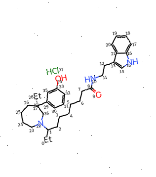 CCC(CCCCCCC(=O)NCCc1c[nH]c2ccccc12)N1CCCC[C@@](CC)(c2cccc(O)c2)C1.Cl